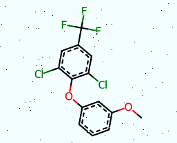 COc1cccc(Oc2c(Cl)cc(C(F)(F)F)cc2Cl)c1